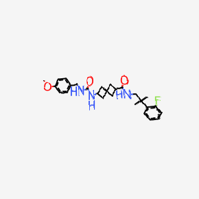 COc1ccc(CNC(=O)NC2CC3(C2)CC(C(=O)NCC(C)(C)c2ccccc2F)C3)cc1